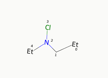 CCCN(Cl)CC